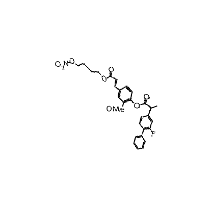 COc1cc(C=CC(=O)OCCCCO[N+](=O)[O-])ccc1OC(=O)C(C)c1ccc(-c2ccccc2)c(F)c1